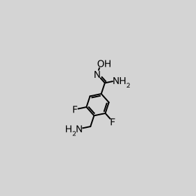 NCc1c(F)cc(C(N)=NO)cc1F